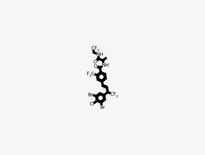 CC(NC(=O)c1ccc(/C=C/C(c2cc(Br)c(Cl)c(Br)c2)C(F)(F)F)cc1C(F)(F)F)C(=O)NCC(F)(F)F